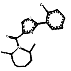 CC1CCCC(C)N1C(=O)c1csc(-c2ccccc2Cl)n1